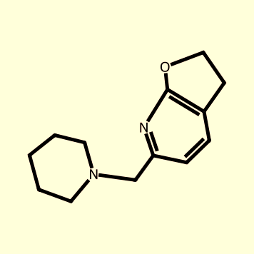 c1cc2c(nc1CN1CCCCC1)OCC2